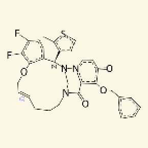 Cc1sccc1[C@@H]1c2ccc(F)c(F)c2OC/C=C/CCCN2CN1n1ccc(=O)c(OCc3ccccc3)c1C2=O